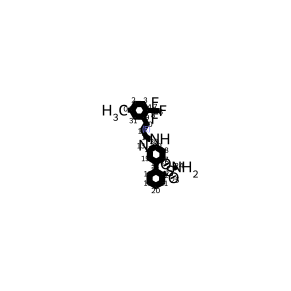 Cc1ccc(C(F)(F)F)c(/C=C/c2nc3cc(-c4ccccc4S(N)(=O)=O)ccc3[nH]2)c1